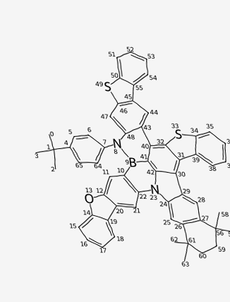 CC(C)(C)c1ccc(N2B3c4cc5oc6ccccc6c5cc4-n4c5cc6c(cc5c5c7c(sc8ccccc87)c(c3c54)-c3cc4c(cc32)sc2ccccc24)C(C)(C)CCC6(C)C)cc1